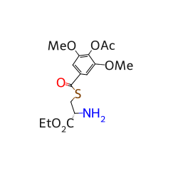 CCOC(=O)[C@@H](N)CSC(=O)c1cc(OC)c(OC(C)=O)c(OC)c1